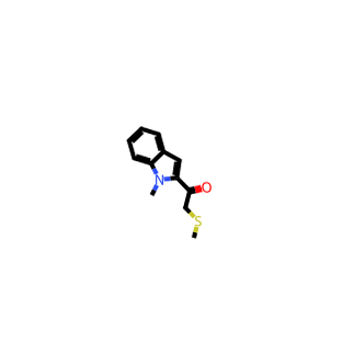 CSCC(=O)c1cc2ccccc2n1C